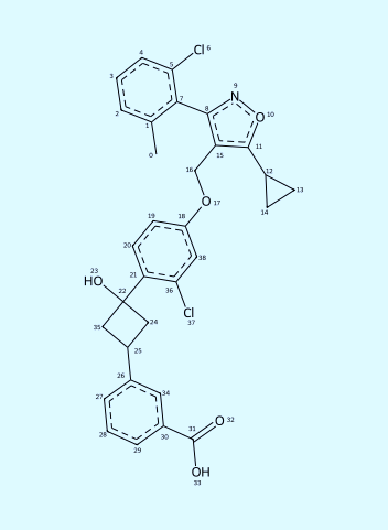 Cc1cccc(Cl)c1-c1noc(C2CC2)c1COc1ccc(C2(O)CC(c3cccc(C(=O)O)c3)C2)c(Cl)c1